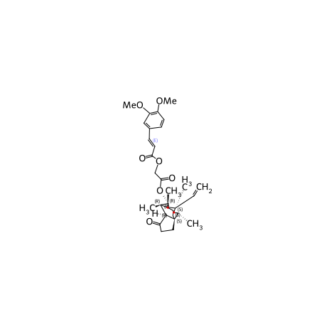 C=C[C@@]1(C)C[C@H](C)[C@]23CCC(=O)[C@H]2[C@@](C)([C@H](C)CC3)[C@H](OC(=O)COC(=O)/C=C/c2ccc(OC)c(OC)c2)C1